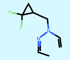 C=CN(CC1CC1(F)F)/N=C\C